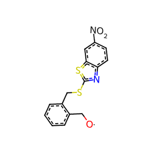 [O]Cc1ccccc1CSc1nc2ccc([N+](=O)[O-])cc2s1